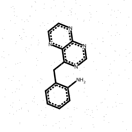 Nc1ccccc1Cc1ncnc2nccnc12